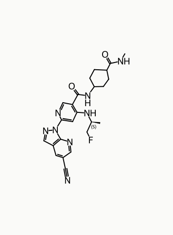 CNC(=O)C1CCC(NC(=O)c2cnc(-n3ncc4cc(C#N)cnc43)cc2N[C@@H](C)CF)CC1